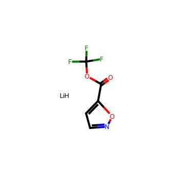 O=C(OC(F)(F)F)c1ccno1.[LiH]